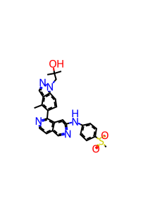 Cc1c(-c2nccc3cnc(Nc4ccc(S(C)(=O)=O)cc4)cc23)ccc2c1cnn2CC(C)(C)O